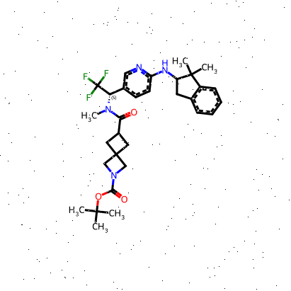 CN(C(=O)C1CC2(C1)CN(C(=O)OC(C)(C)C)C2)[C@@H](c1ccc(NC2Cc3ccccc3C2(C)C)nc1)C(F)(F)F